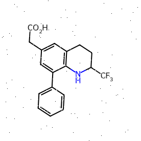 O=C(O)Cc1cc2c(c(-c3ccccc3)c1)NC(C(F)(F)F)CC2